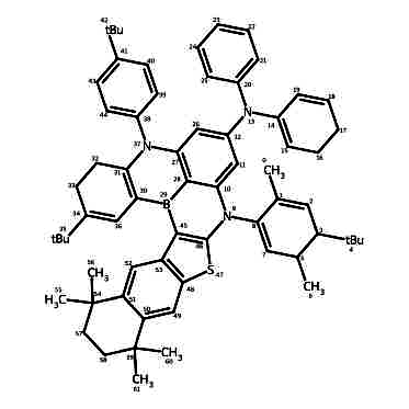 CC1=CC(C(C)(C)C)C(C)C=C1N1c2cc(N(C3=CCCC=C3)c3ccccc3)cc3c2B(C2=C(CCC(C(C)(C)C)=C2)N3c2ccc(C(C)(C)C)cc2)c2c1sc1cc3c(cc21)C(C)(C)CCC3(C)C